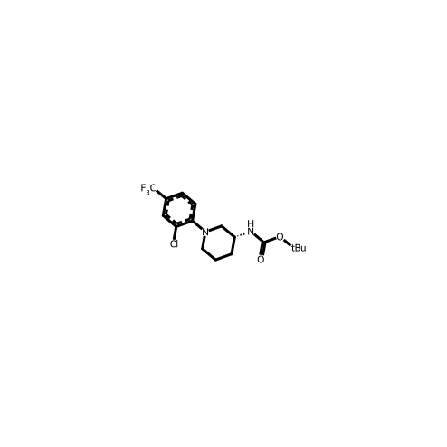 CC(C)(C)OC(=O)N[C@@H]1CCCN(c2ccc(C(F)(F)F)cc2Cl)C1